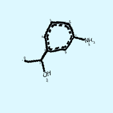 [CH2]C(O)c1cccc(N)c1